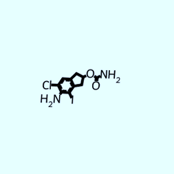 NC(=O)OC1Cc2cc(Cl)c(N)c(I)c2C1